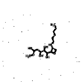 CCCCCCNC1COC1C(O)C(O)C(O)CC(O)OC